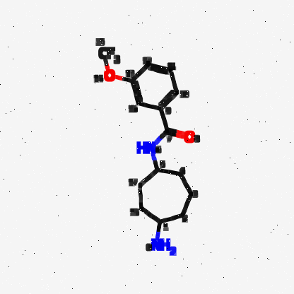 NC1CCCC(NC(=O)c2cccc(OC(F)(F)F)c2)CC1